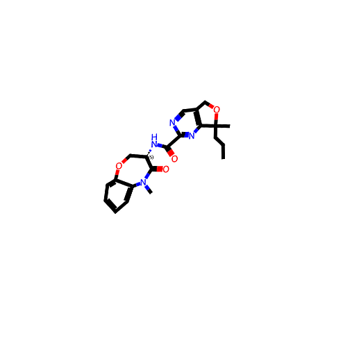 CCCC1(C)OCc2cnc(C(=O)N[C@H]3COc4ccccc4N(C)C3=O)nc21